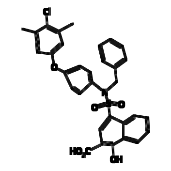 Cc1cc(Oc2ccc(N(Cc3ccccc3)S(=O)(=O)c3cc(C(=O)O)c(O)c4ccccc34)cc2)cc(C)c1Cl